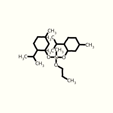 CCCO[Si](C)(OC1CC(C)CCC1C(C)C)OC1CC(C)CCC1C(C)C